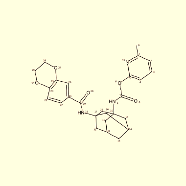 Cc1cccc(OC(=O)NC23CC4CC(C2)CC(NC(=O)c2ccc5c(c2)OCCO5)(C4)C3)n1